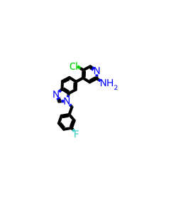 Nc1cc(-c2ccc3ncn(Cc4cccc(F)c4)c3c2)c(Cl)cn1